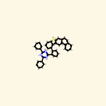 c1ccc(-c2nc(-c3ccccc3)nc(-c3ccccc3-c3cccc4sc5cc6ccc7ccccc7c6cc5c34)n2)cc1